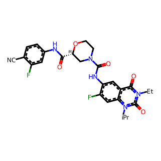 CCn1c(=O)c2cc(NC(=O)N3CCO[C@@H](C(=O)Nc4ccc(C#N)c(F)c4)C3)c(F)cc2n(C(C)C)c1=O